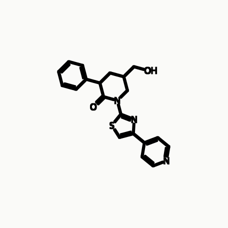 O=C1C(c2ccccc2)CC(CO)CN1c1nc(-c2ccncc2)cs1